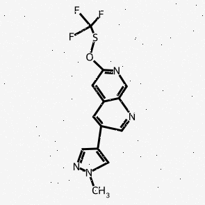 Cn1cc(-c2cnc3cnc(OSC(F)(F)F)cc3c2)cn1